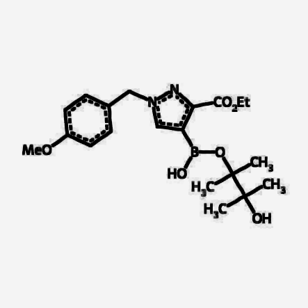 CCOC(=O)c1nn(Cc2ccc(OC)cc2)cc1B(O)OC(C)(C)C(C)(C)O